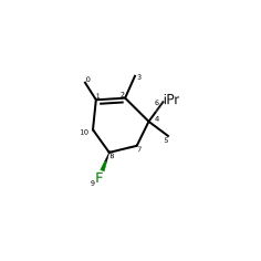 CC1=C(C)C(C)(C(C)C)C[C@@H](F)C1